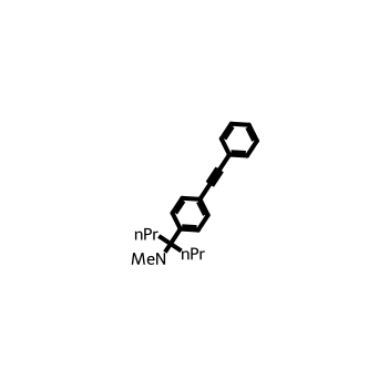 CCCC(CCC)(NC)c1ccc(C#Cc2ccccc2)cc1